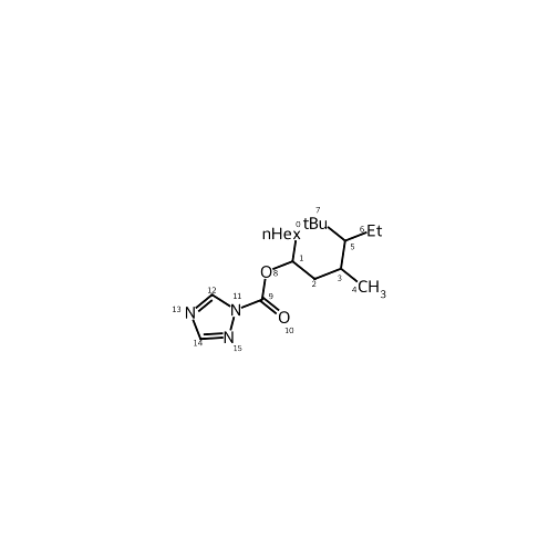 CCCCCCC(CC(C)C(CC)C(C)(C)C)OC(=O)n1cncn1